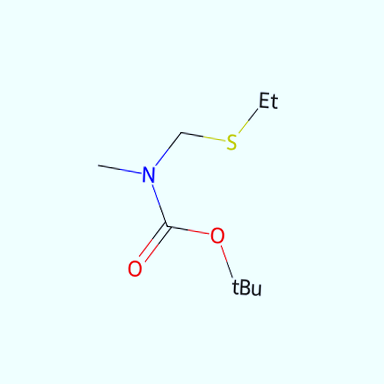 CCSCN(C)C(=O)OC(C)(C)C